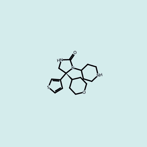 O=C1NC[C@](c2ccsc2)(C2CCOCC2)N1C1CCNCC1